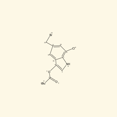 CC(C)(C)C(=O)Oc1c[nH]c2c(Cl)cc(CBr)cc12